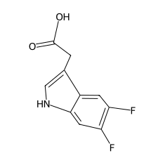 O=C(O)Cc1c[nH]c2cc(F)c(F)cc12